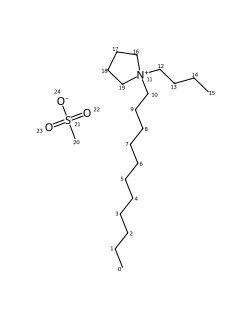 CCCCCCCCCCC[N+]1(CCCC)CCCC1.CS(=O)(=O)[O-]